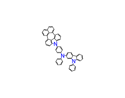 c1ccc(N(c2ccc(-n3c4cccc5c4c4c(cccc43)-c3cccc4cccc-5c34)cc2)c2ccc3c4ccccc4n(-c4ccccc4)c3c2)cc1